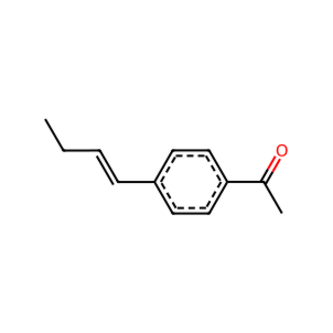 CCC=Cc1ccc(C(C)=O)cc1